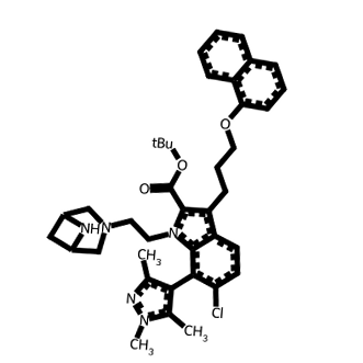 Cc1nn(C)c(C)c1-c1c(Cl)ccc2c(CCCOc3cccc4ccccc34)c(C(=O)OC(C)(C)C)n(CCN3CC4CC(C3)N4)c12